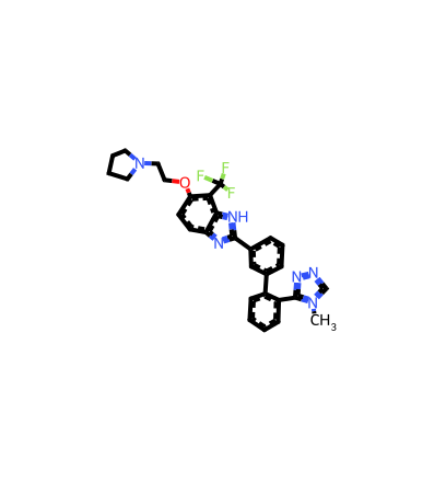 Cn1cnnc1-c1ccccc1-c1cccc(-c2nc3ccc(OCCN4CCCC4)c(C(F)(F)F)c3[nH]2)c1